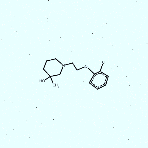 CC1(O)CCCN(CCOc2ccccc2Cl)C1